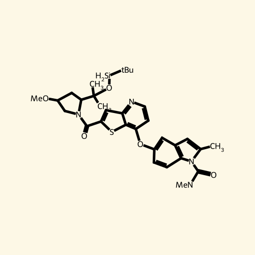 CNC(=O)n1c(C)cc2cc(Oc3ccnc4cc(C(=O)N5CC(OC)CC5C(C)(C)O[SiH2]C(C)(C)C)sc34)ccc21